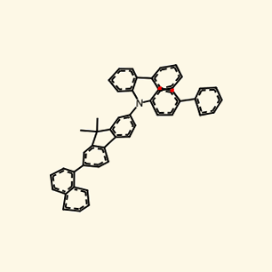 CC1(C)c2cc(-c3cccc4ccccc34)ccc2-c2ccc(N(c3ccc(-c4ccccc4)cc3)c3ccccc3-c3ccccc3)cc21